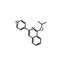 CC(C)Oc1nc(-c2ccncc2)cc2ccccc12